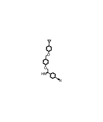 N#Cc1ccc(C(=N)COc2ccc(COc3ccc(C4CC4)cc3)cc2)cc1